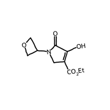 CCOC(=O)C1=C(O)C(=O)N(C2COC2)C1